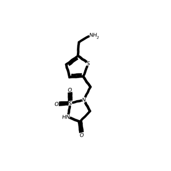 NCc1ccc(CN2CC(=O)NS2(=O)=O)s1